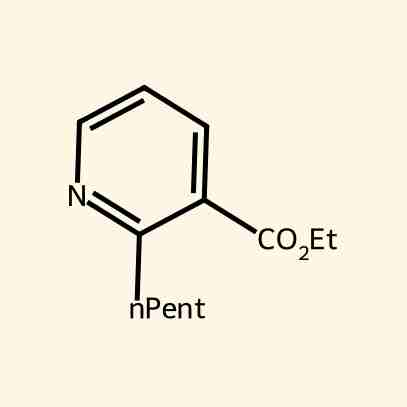 CCCCCc1ncccc1C(=O)OCC